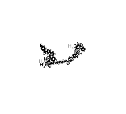 CC(=O)c1c(C)c2cnc(Nc3ccc(N4CCN(C(=O)CCOCCOCCOCCC(=O)N(C)C(C)C(=O)N[C@H](C(=O)N5CCCC5c5nc(C(=O)c6ccc(F)cc6)cs5)C5CCCCC5)CC4)cn3)nc2n(C2CCCC2)c1=O